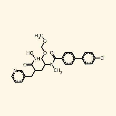 COCOCC(CC(Cc1cccnc1)C(=O)NO)N(C)C(=O)c1ccc(-c2ccc(Cl)cc2)cc1